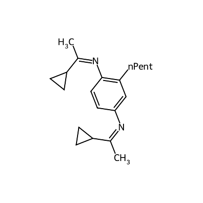 CCCCCc1cc(/N=C(/C)C2CC2)ccc1/N=C(/C)C1CC1